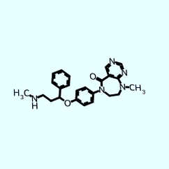 CNCCC(Oc1ccc(N2CCN(C)c3ncncc3C2=O)cc1)c1ccccc1